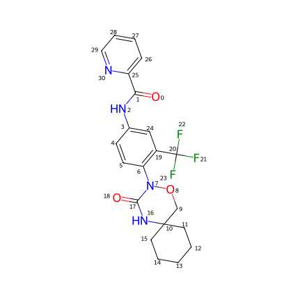 O=C(Nc1ccc(N2OCC3(CCCCC3)NC2=O)c(C(F)(F)F)c1)c1ccccn1